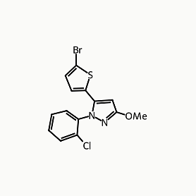 COc1cc(-c2ccc(Br)s2)n(-c2ccccc2Cl)n1